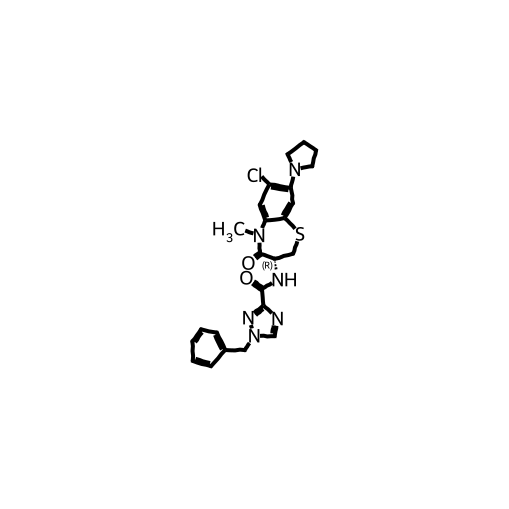 CN1C(=O)[C@@H](NC(=O)c2ncn(Cc3ccccc3)n2)CSc2cc(N3CCCC3)c(Cl)cc21